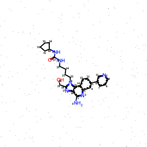 Nc1nc2cc(-c3cccnc3)ccc2c2c1nc(CO)n2CCCCNC(=O)NC1CCCC1